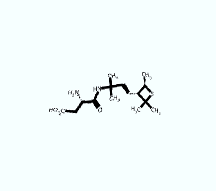 C[C@H]1SC(C)(C)[C@@H]1C=CC(C)(C)NC(=O)[C@@H](N)CC(=O)O